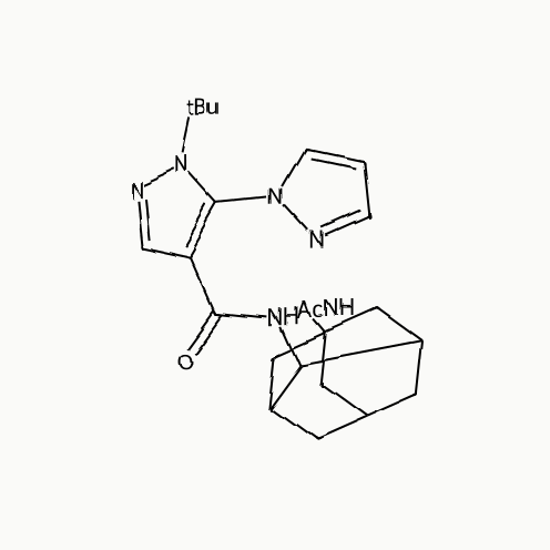 CC(=O)NC12CC3CC(C1)C(NC(=O)c1cnn(C(C)(C)C)c1-n1cccn1)C(C3)C2